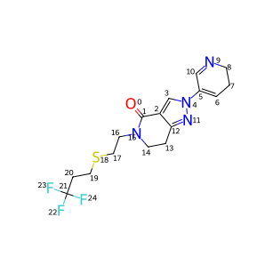 O=C1c2cn(C3=CCCN=C3)nc2CCN1CCSCCC(F)(F)F